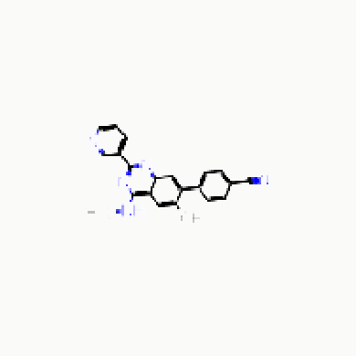 CNc1nc(-c2cccnc2)nc2cc(-c3ccc(C#N)cc3)c(C)cc12